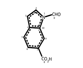 O=Cn1ccc2ccc(C(=O)O)cc21